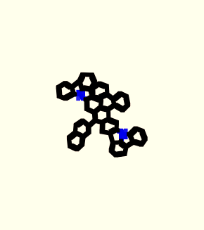 c1ccc(-c2ccccc2-c2c3cc4c5cccc6c7ccccc7n(c4cc3c(-c3ccc4ccccc4c3)c3cc4c7cccc8c9ccccc9n(c4cc23)c87)c65)cc1